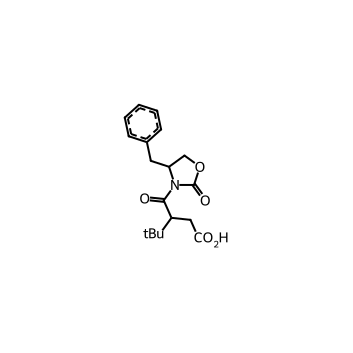 CC(C)(C)C(CC(=O)O)C(=O)N1C(=O)OCC1Cc1ccccc1